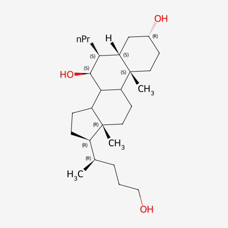 CCC[C@@H]1[C@H](O)C2C3CC[C@H]([C@H](C)CCCO)[C@@]3(C)CCC2[C@@]2(C)CC[C@@H](O)C[C@@H]12